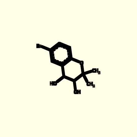 CC1(C)Oc2ccc(Br)cc2C(O)C1O